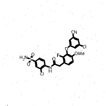 COc1ccc(CC(=O)Nc2ccc(S(N)(=O)=O)cc2Cl)c(F)c1Oc1cc(Cl)cc(C#N)c1